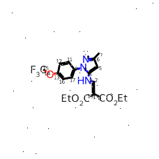 CCOC(=O)C(=CNc1cc(C)nn1-c1ccc(OC(F)(F)F)cc1)C(=O)OCC